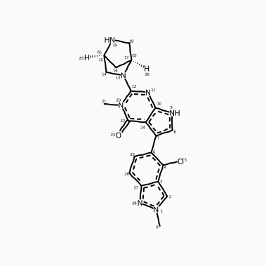 Cn1cc2c(Cl)c(-c3c[nH]c4nc(N5C[C@@H]6C[C@H]5CN6)n(C)c(=O)c34)ccc2n1